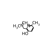 Cc1ccc(O)c(CN(C)C)n1